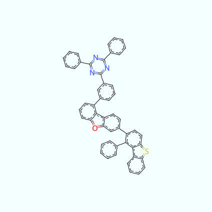 c1ccc(-c2nc(-c3ccccc3)nc(-c3cccc(-c4cccc5oc6cc(-c7ccc8sc9ccccc9c8c7-c7ccccc7)ccc6c45)c3)n2)cc1